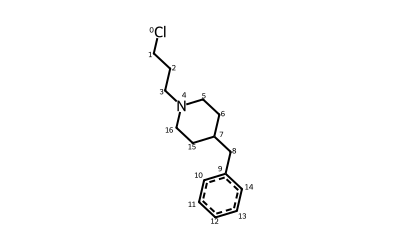 ClCCCN1CCC(Cc2ccccc2)CC1